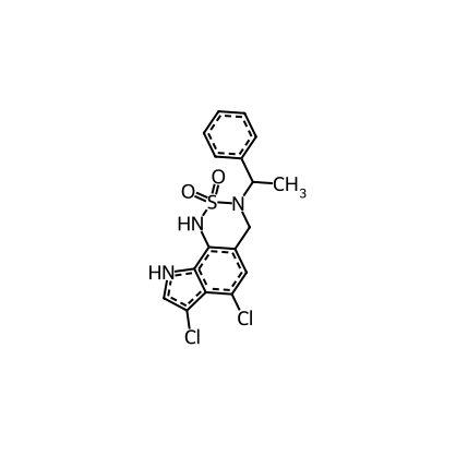 CC(c1ccccc1)N1Cc2cc(Cl)c3c(Cl)c[nH]c3c2NS1(=O)=O